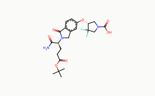 CC(C)(C)OC(=O)CC[C@@H](C(N)=O)N1Cc2cc(O[C@@H]3CN(C(=O)O)CC3(F)F)ccc2C1=O